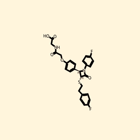 O=C(O)CNC(=O)COc1ccc([C@@H]2[C@@H](SCCc3ccc(F)cc3)C(=O)N2c2ccc(F)cc2)cc1